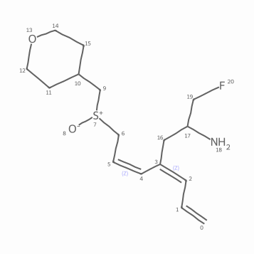 C=C/C=C(\C=C/C[S+]([O-])CC1CCOCC1)CC(N)CF